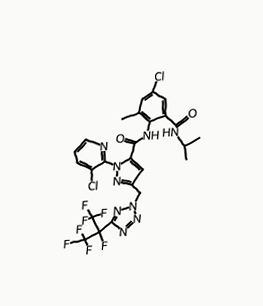 Cc1cc(Cl)cc(C(=O)NC(C)C)c1NC(=O)c1cc(Cn2nnc(C(F)(C(F)(F)F)C(F)(F)F)n2)nn1-c1ncccc1Cl